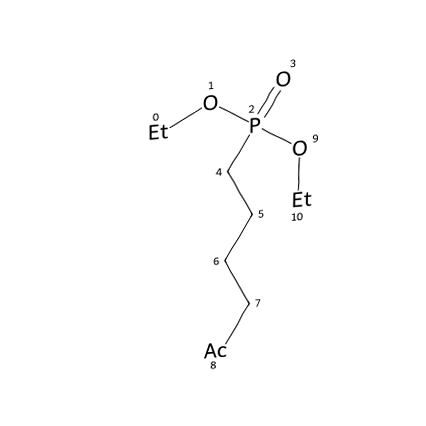 CCOP(=O)(CCCCC(C)=O)OCC